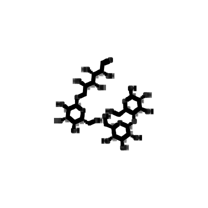 O=C[C@H](O)[C@@H](O)[C@H](O)[C@H](O)CO[C@H]1O[C@H](CO)[C@@H](O)[C@H](O)[C@H]1O.OC[C@H]1O[C@H](O[C@H]2[C@H](O)[C@@H](O)[C@H](O)O[C@@H]2CO)[C@H](O)[C@@H](O)[C@@H]1O